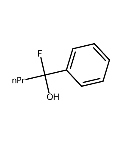 CCCC(O)(F)c1ccccc1